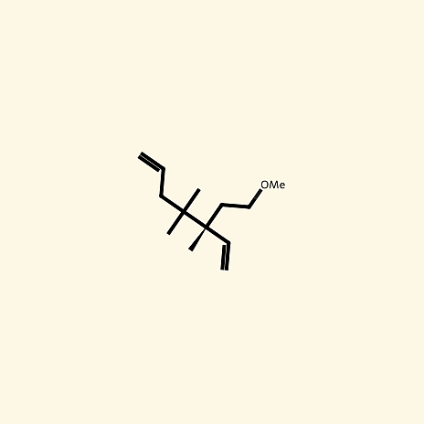 C=CCC(C)(C)[C@@](C)(C=C)CCOC